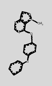 Cn1ncc2ncnc(Oc3ccc(Oc4ccccc4)cc3)c21